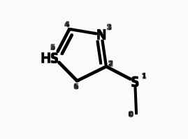 CSC1=NC=[SH]C1